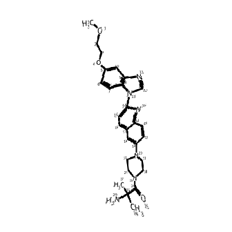 COCCOc1ccc2c(c1)ncn2-c1ccc2cc(N3CCN(C(=O)C(C)(C)N)CC3)ccc2n1